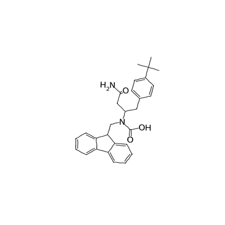 CC(C)(C)c1ccc(CC(CC(N)=O)N(CC2c3ccccc3-c3ccccc32)C(=O)O)cc1